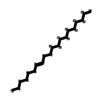 [CH2]CCCCC/C=C/CCCCCCCCCCCC